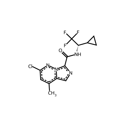 Cc1cc(Cl)nn2c(C(=O)N[C@@H](C3CC3)C(F)(F)F)ncc12